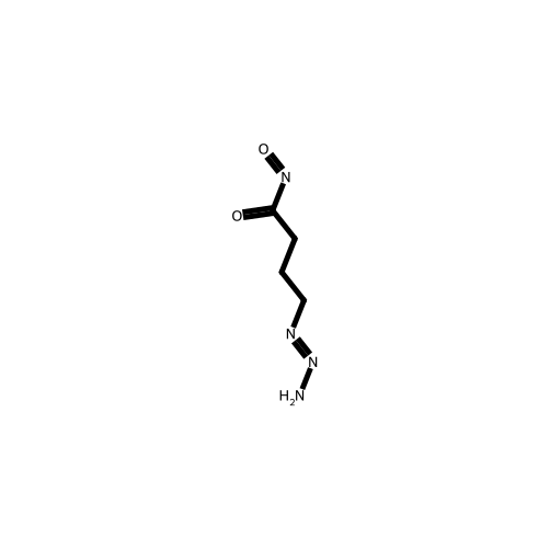 NN=NCCCC(=O)N=O